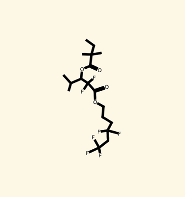 CCC(C)(C)C(=O)OC(C(C)C)C(F)(F)C(=O)OCCCC(F)(F)CC(F)(F)F